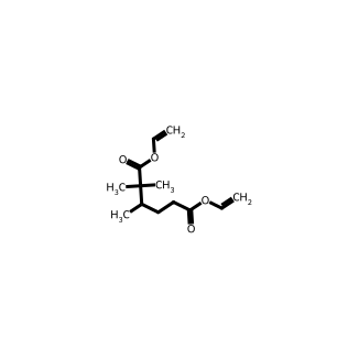 C=COC(=O)CCC(C)C(C)(C)C(=O)OC=C